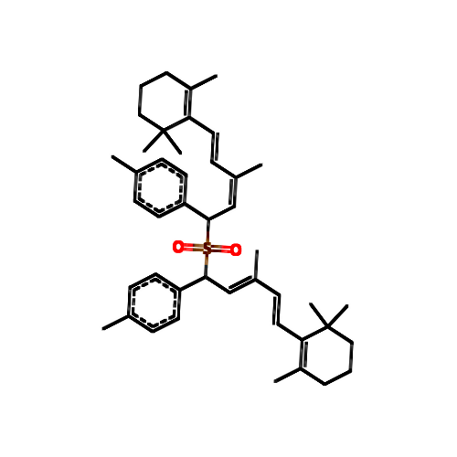 CC(C=CC1=C(C)CCCC1(C)C)=CC(c1ccc(C)cc1)S(=O)(=O)C(C=C(C)C=CC1=C(C)CCCC1(C)C)c1ccc(C)cc1